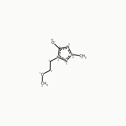 COCC[n+]1nn(C)nc1[O-]